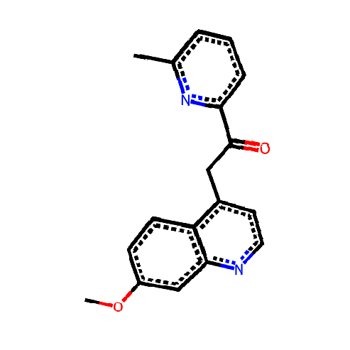 COc1ccc2c(CC(=O)c3cccc(C)n3)ccnc2c1